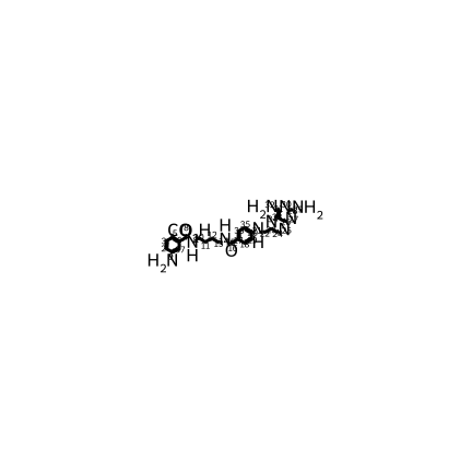 Nc1ccc(C(=O)O)c(C(=O)NCCCCNC(=O)c2ccc(NCc3cnc4nc(N)nc(N)c4n3)cc2)c1